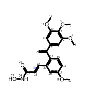 C=C(c1cc(OC)c(OC)c(OC)c1)c1ccc(OC)cc1/C=C/C(=O)NO